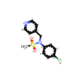 CS(=O)(=O)N(Cc1ccncc1)c1ccc(Cl)cc1